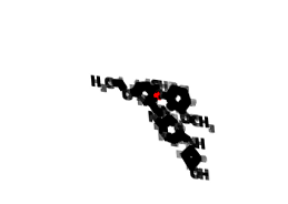 CCOc1cccc(-c2nc3ncc(N[C@H]4C[C@H](O)C4)nc3n2-c2c(OC)cccc2OC)n1